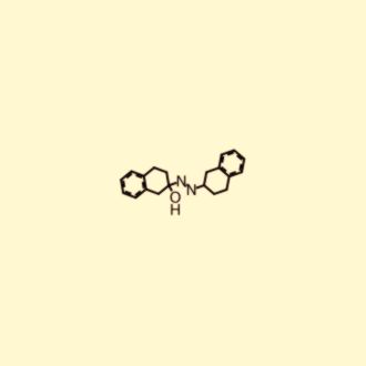 OC1(N=NC2CCc3ccccc3C2)CCc2ccccc2C1